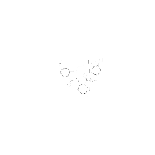 Cc1ccc(NC(=O)c2ccc([S+](C)[O-])cc2OCCCN)c(C(=O)Nc2ccc(Cl)cn2)n1